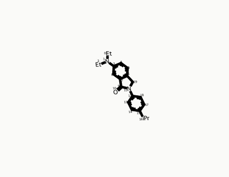 CCN(CC)c1ccc2c(c1)C(=O)N(c1ccc(C(C)C)cc1)C2